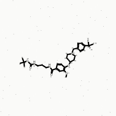 COc1cc(C(=O)NCCCNC(=O)OC(C)(C)C)ccc1OC1CCN(Cc2ccc(C(F)(F)F)cc2)CC1